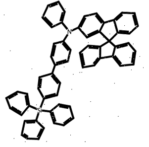 c1ccc(N(c2ccc(-c3ccc([Si](c4ccccc4)(c4ccccc4)c4ccccc4)cc3)cc2)c2ccc3c(c2)C2(c4ccccc4-c4ccccc42)c2ccccc2-3)cc1